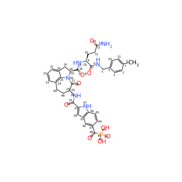 Cc1ccc(CNC(=O)[C@H](CCC(N)=O)NC(=O)[C@@H]2Cc3cccc4c3N2C(=O)[C@@H](NC(=O)c2cc3cc(C(=O)P(=O)(O)O)ccc3[nH]2)CC4)cc1